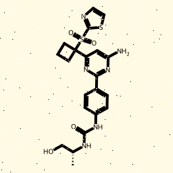 C[C@H](CO)NC(=O)Nc1ccc(-c2nc(N)cc(C3(S(=O)(=O)c4nccs4)CCC3)n2)cc1